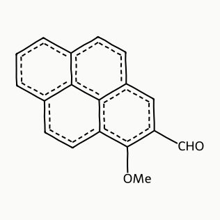 COc1c(C=O)cc2ccc3cccc4ccc1c2c34